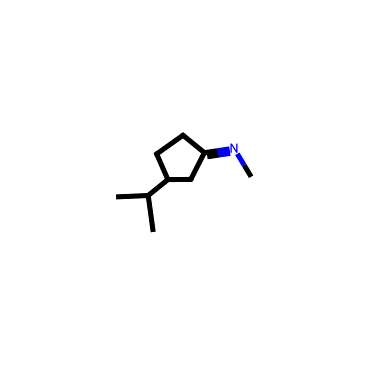 C/N=C1/CCC(C(C)C)C1